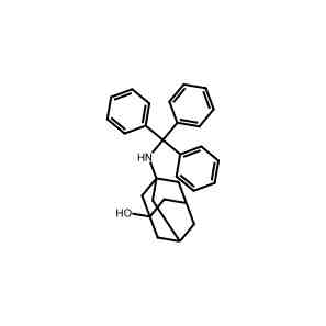 OC12CC3CC(C1)CC(NC(c1ccccc1)(c1ccccc1)c1ccccc1)(C3)C2